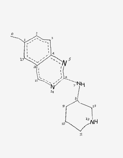 Cc1ccc2nc(NC3CCCNC3)ncc2c1